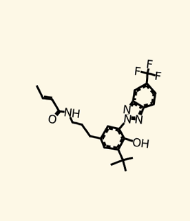 CC=CC(=O)NCCCc1cc(-n2nc3ccc(C(F)(F)F)cc3n2)c(O)c(C(C)(C)C)c1